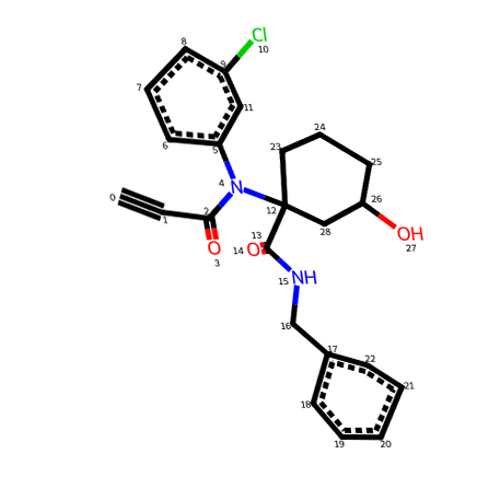 C#CC(=O)N(c1cccc(Cl)c1)C1(C(=O)NCc2ccccc2)CCCC(O)C1